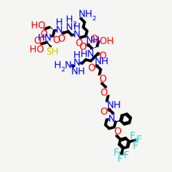 N=C(N)NCCCC(C=O)(NC(=O)CCOCCOCCNC(=O)CN1CCC[C@H](OCc2cc(C(F)(F)F)cc(C(F)(F)F)c2)[C@@H]1c1ccccc1)N[C@@H](CC(=O)O)C(=O)NC(CCCCN)C(=O)NC[C@H](N)C(=O)N[C@@H](CC(=O)O)C(=O)N[C@@H](CS)C(=O)O